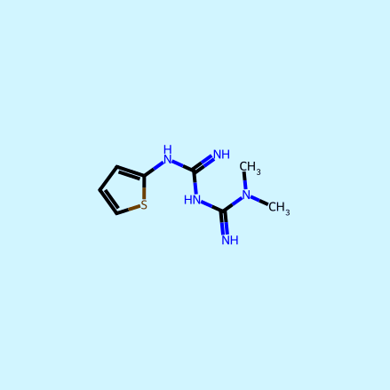 CN(C)C(=N)NC(=N)Nc1cccs1